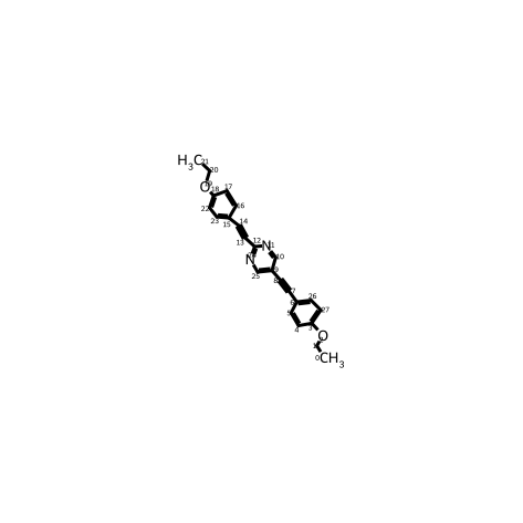 CCOc1ccc(C#Cc2cnc(C#Cc3ccc(OCC)cc3)nc2)cc1